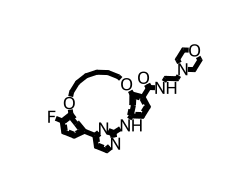 O=C(NCCN1CCOCC1)c1ccc2cc1OCCCCCCOc1cc(ccc1F)-c1ccnc(n1)N2